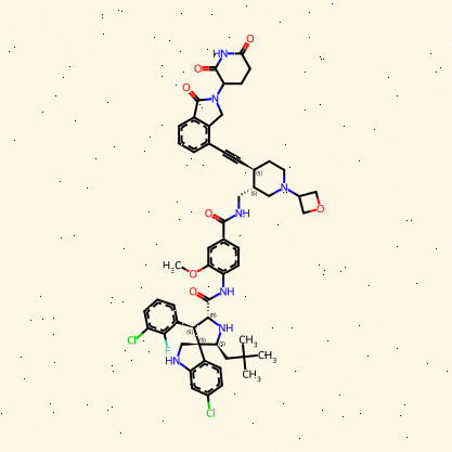 COc1cc(C(=O)NC[C@H]2CN(C3COC3)CC[C@@H]2C#Cc2cccc3c2CN(C2CCC(=O)NC2=O)C3=O)ccc1NC(=O)[C@@H]1N[C@@H](CC(C)(C)C)[C@@]2(CNc3cc(Cl)ccc32)[C@H]1c1cccc(Cl)c1F